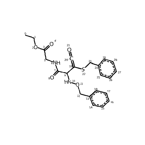 CCOC(=O)CNC(=O)C(NOCc1ccccc1)C(=C=O)SCc1ccccc1